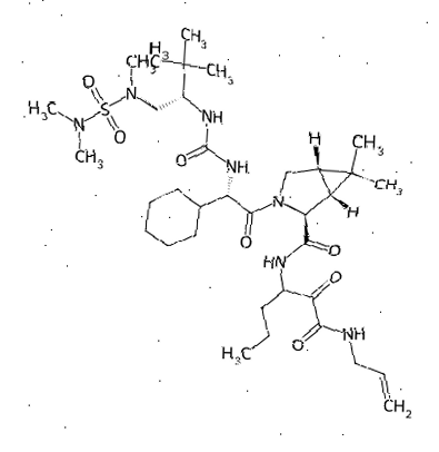 C=CCNC(=O)C(=O)C(CCC)NC(=O)[C@@H]1[C@@H]2[C@H](CN1C(=O)[C@@H](NC(=O)N[C@H](CN(C)S(=O)(=O)N(C)C)C(C)(C)C)C1CCCCC1)C2(C)C